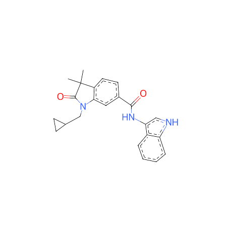 CC1(C)C(=O)N(CC2CC2)c2cc(C(=O)Nc3c[nH]c4ccccc34)ccc21